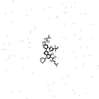 CC(C)NC(=O)Nc1cc(-c2nc(C(F)(F)F)cs2)c(-c2ccc3c(c2)c(=O)c(C(=O)NCCN(C)C)cn3C2CCOCC2)cn1